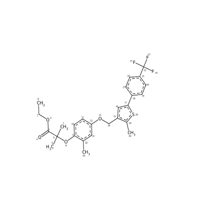 CCOC(=O)C(C)(C)Oc1ccc(OCc2cc(-c3ccc(C(F)(F)F)cc3)sc2C)cc1C